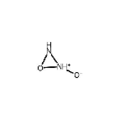 [O-][NH+]1NO1